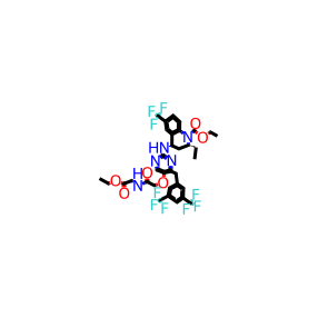 CCOC(=O)CNC(=O)COc1cnc(N[C@H]2C[C@@H](CC)N(C(=O)OCC)c3ccc(C(F)(F)F)cc32)nc1Cc1cc(C(F)(F)F)cc(C(F)(F)F)c1